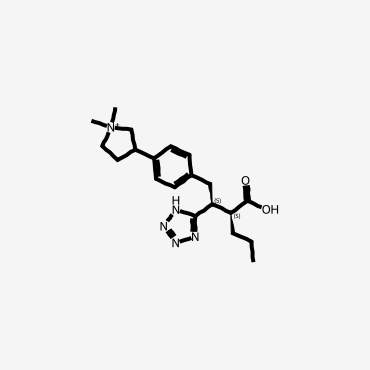 CCC[C@H](C(=O)O)[C@H](Cc1ccc(C2CC[N+](C)(C)C2)cc1)c1nnn[nH]1